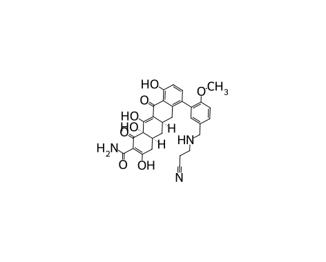 COc1ccc(CNCCC#N)cc1-c1ccc(O)c2c1C[C@H]1C[C@H]3CC(O)=C(C(N)=O)C(=O)[C@@]3(O)C(O)=C1C2=O